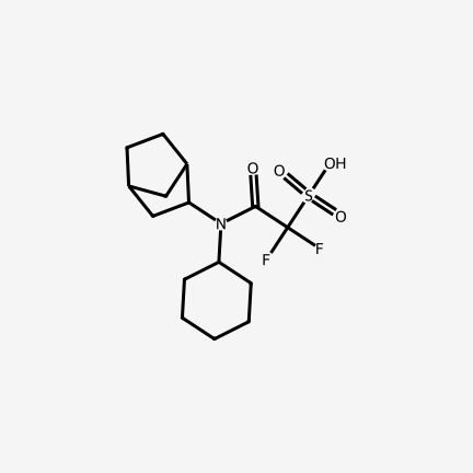 O=C(N(C1CCCCC1)C1CC2CCC1C2)C(F)(F)S(=O)(=O)O